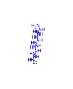 CCNNNNNNNNNNNNN